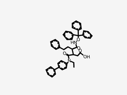 CCN(C(=O)C(CC(=O)O)C(CCc1ccccc1)C(=O)NOC(c1ccccc1)(c1ccccc1)c1ccccc1)c1ccc(-c2ccccc2)cc1